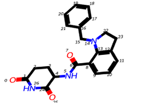 O=C1CCC(NC(=O)c2cccc3c2N(Cc2ccccc2)CC3)C(=O)N1